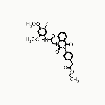 CCOC(=O)Cc1ccc(-n2c(=O)c3ccccc3n(CC(=O)Nc3cc(Cl)c(OC)cc3OC)c2=O)cc1